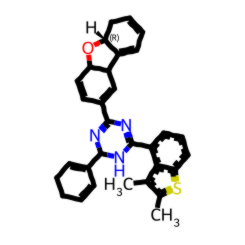 Cc1sc2cccc(C3=NC(C4=CC5C6=CC=CC[C@H]6OC5C=C4)=NC(C4=CCCC=C4)N3)c2c1C